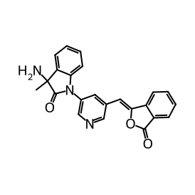 CC1(N)C(=O)N(c2cncc(C=C3OC(=O)c4ccccc43)c2)c2ccccc21